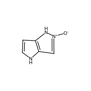 [O-][n+]1cc2[nH]ccc2[nH]1